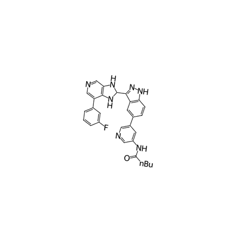 CCCCC(=O)Nc1cncc(-c2ccc3[nH]nc(C4Nc5cncc(-c6cccc(F)c6)c5N4)c3c2)c1